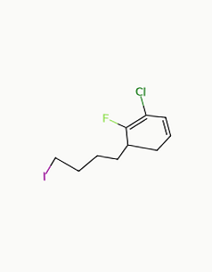 FC1=C(Cl)C=CCC1CCCCI